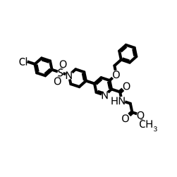 COC(=O)CNC(=O)c1ncc(C2=CCN(S(=O)(=O)c3ccc(Cl)cc3)CC2)cc1OCc1ccccc1